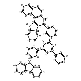 c1ccc(-c2nc(-c3cccc(-c4nc5ccc6ccccc6c5c5sc6ccccc6c45)c3)nc(-c3cccc(-n4c5ccccc5c5ccccc54)c3)n2)cc1